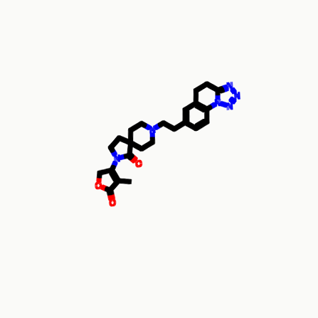 CC1=C(N2CCC3(CCN(CCc4ccc5c(c4)CCc4nnnn4-5)CC3)C2=O)COC1=O